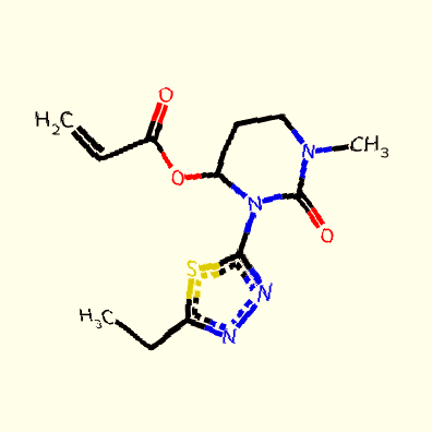 C=CC(=O)OC1CCN(C)C(=O)N1c1nnc(CC)s1